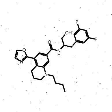 CCCCN1CCCc2c(-c3ncco3)cc(C(=O)NC(CO)Cc3cc(F)cc(F)c3)cc21